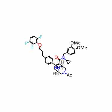 COc1ccc(CN(C(=O)C2=C(c3ccc(CCCOc4c(F)ccc(F)c4F)cc3)C[C@@H]3CN(C(C)=O)C[C@H]2N3)C2CC2)cc1OC